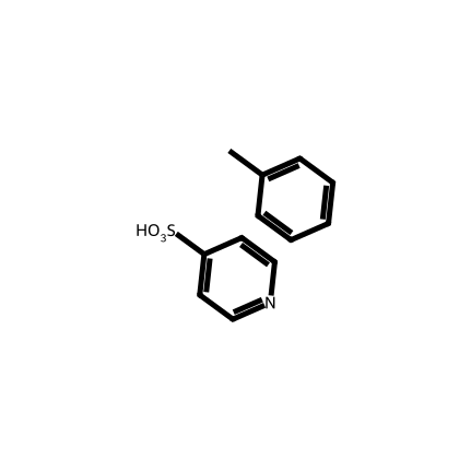 Cc1ccccc1.O=S(=O)(O)c1ccncc1